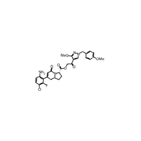 COc1ccc(Cn2cc(C(=O)COC(=O)[C@@H]3CCC4CC(c5c(N)ccc(Cl)c5F)=CC(=O)N43)c(OC)n2)cc1